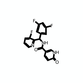 O=C(NC(c1cc(F)cc(F)c1)c1ncccc1F)c1ccc(=O)[nH]c1